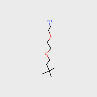 CC(C)(C)CCOCCOCCN